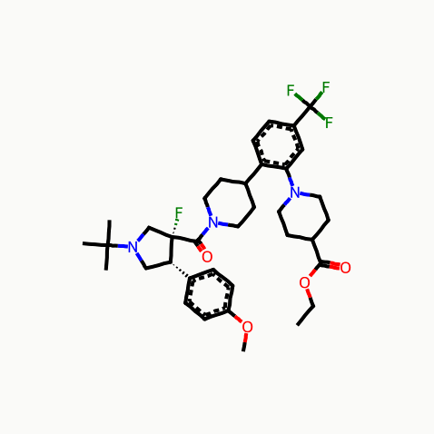 CCOC(=O)C1CCN(c2cc(C(F)(F)F)ccc2C2CCN(C(=O)[C@]3(F)CN(C(C)(C)C)C[C@H]3c3ccc(OC)cc3)CC2)CC1